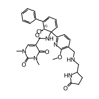 COc1nc(C2(NC(=O)c3cn(C)c(=O)n(C)c3=O)C=CC=C(c3ccccc3)[C@@H]2Cl)ccc1CNCC1CCC(=O)N1